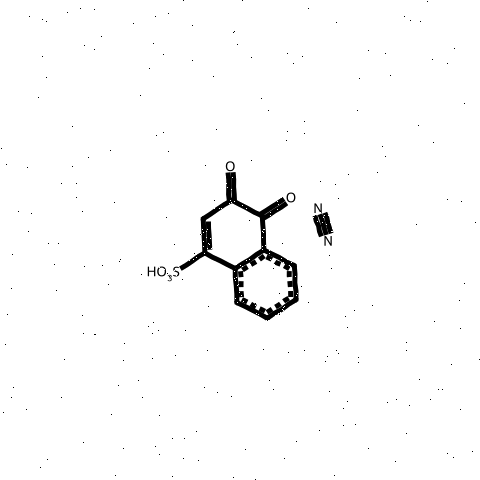 N#N.O=C1C=C(S(=O)(=O)O)c2ccccc2C1=O